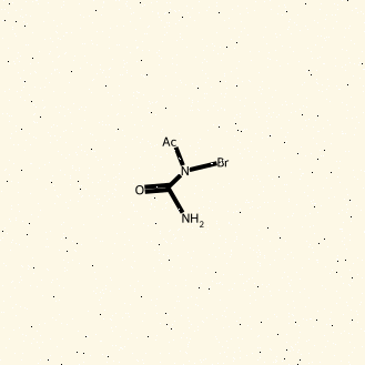 CC(=O)N(Br)C(N)=O